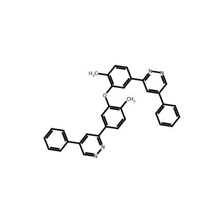 Cc1ccc(-c2cc(-c3ccccc3)cnn2)cc1Oc1cc(-c2cc(-c3ccccc3)cnn2)ccc1C